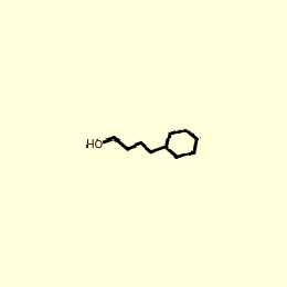 OCCCCC1CC[CH]CC1